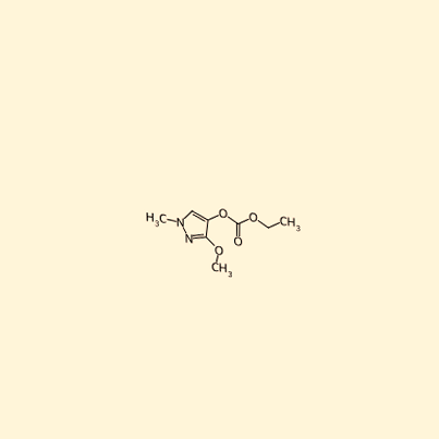 CCOC(=O)Oc1cn(C)nc1OC